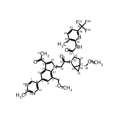 COCc1cc(-c2cnc(C)nc2)cc2c(C(C)=O)cn(CC(=O)N3C4C[C@]4(COC)C[C@H]3C(=O)Nc3nc(C(F)(F)F)ccc3C)c12